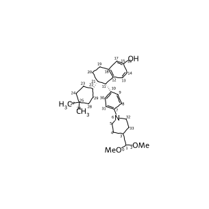 COC(OC)C1CCN(c2ccc([C@H]3c4ccc(O)cc4CC[C@H]3C3CCC(C)(C)CC3)cc2)CC1